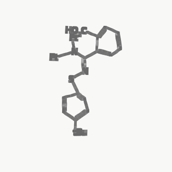 CCN(CC)C(=NSc1ccc(C(C)(C)C)cc1)c1ccccc1C(=O)O